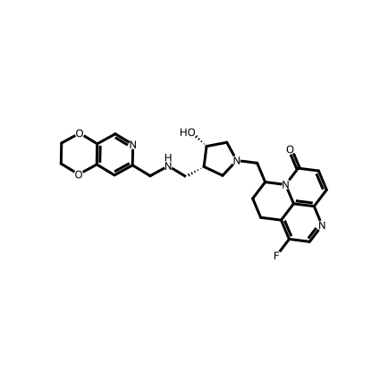 O=c1ccc2ncc(F)c3c2n1C(CN1C[C@H](CNCc2cc4c(cn2)OCCO4)[C@H](O)C1)CC3